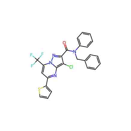 O=C(c1nn2c(C(F)(F)F)cc(-c3cccs3)nc2c1Cl)N(Cc1ccccc1)c1ccccc1